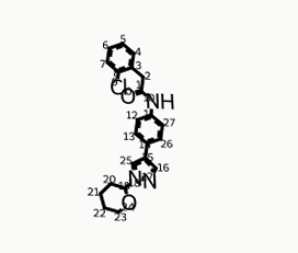 O=C(Cc1ccccc1Cl)Nc1ccc(-c2cnn(C3CCCCO3)c2)cc1